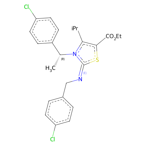 CCOC(=O)c1s/c(=N/Cc2ccc(Cl)cc2)n([C@H](C)c2ccc(Cl)cc2)c1C(C)C